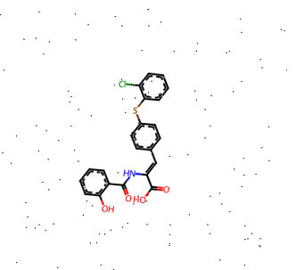 O=C(O)C(=Cc1ccc(Sc2ccccc2Cl)cc1)NC(=O)c1ccccc1O